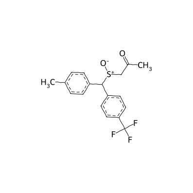 CC(=O)C[S+]([O-])C(c1ccc(C)cc1)c1ccc(C(F)(F)F)cc1